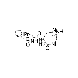 CC(C)CC(NC(=O)OCc1ccccc1)C(=O)NC1CCc2cc([nH]n2)CCNC(=O)C1=O